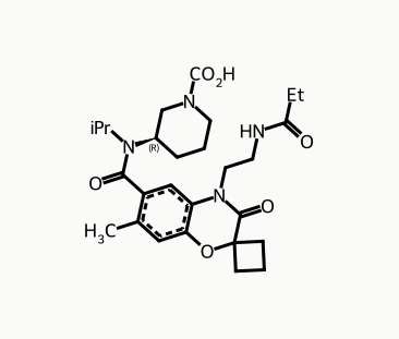 CCC(=O)NCCN1C(=O)C2(CCC2)Oc2cc(C)c(C(=O)N(C(C)C)[C@@H]3CCCN(C(=O)O)C3)cc21